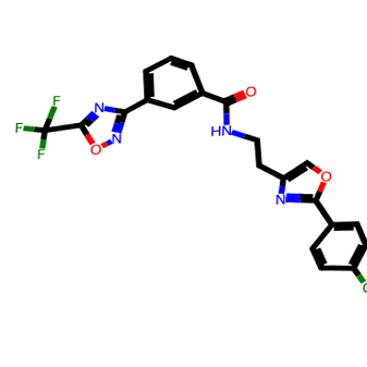 O=C(NCCc1coc(-c2ccc(Cl)cc2)n1)c1cccc(-c2noc(C(F)(F)F)n2)c1